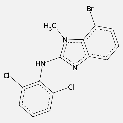 Cn1c(Nc2c(Cl)cccc2Cl)nc2cccc(Br)c21